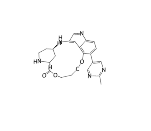 Cc1ncc(-c2ccc3ncc4cc3c2OCCCOC(=O)[C@@H]2C[C@H](CCN2)N4)cn1